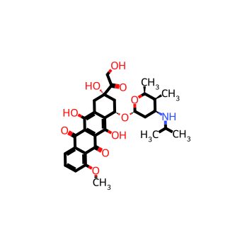 COc1cccc2c1C(=O)c1c(O)c3c(c(O)c1C2=O)C[C@@](O)(C(=O)CO)C[C@@H]3O[C@H]1C[C@H](NC(C)C)[C@H](C)[C@H](C)O1